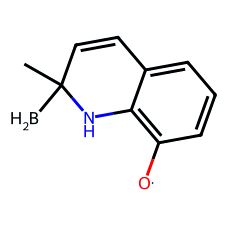 BC1(C)C=Cc2cccc([O])c2N1